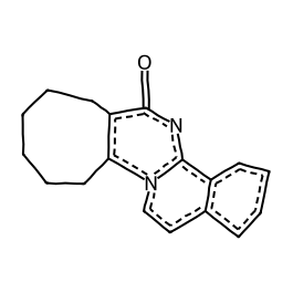 O=c1nc2c3ccccc3ccn2c2c1CCCCCC2